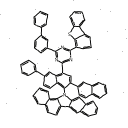 c1ccc(-c2cccc(-c3nc(-c4cc(-c5ccc6ccccc6c5)c(-n5c6cc7ccccc7cc6c6ccc7ccccc7c65)c5ccc(-c6ccccc6)cc45)nc(-c4cccc5c4sc4ccccc45)n3)c2)cc1